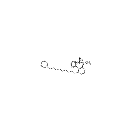 CN(C)c1cccc(CCCCCCCCCc2ccccc2)c1-c1ncc[nH]1